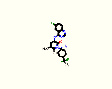 Cc1cc(Nc2ncnc3ccc(F)cc23)c(=O)n(C2(N)CCC(C(F)(F)C(F)(F)F)CC2)c1C=O